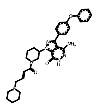 Nc1n[nH]c(=O)c2c1c(-c1ccc(Oc3ccccc3)cc1)nn2C1CCCN(C(=O)/C=C/CN2CCCCC2)C1